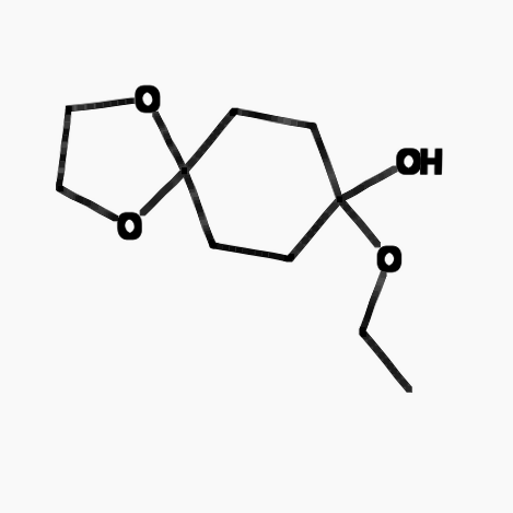 CCOC1(O)CCC2(CC1)OCCO2